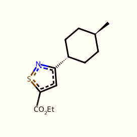 CCOC(=O)c1cc([C@H]2CC[C@H](C)CC2)ns1